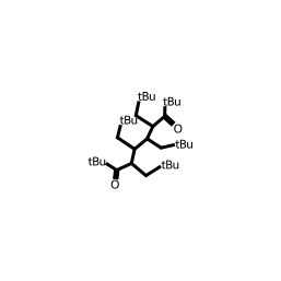 CC(C)(C)CC(C(=O)C(C)(C)C)C(CC(C)(C)C)C(CC(C)(C)C)C(CC(C)(C)C)C(=O)C(C)(C)C